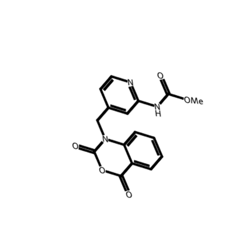 COC(=O)Nc1cc(Cn2c(=O)oc(=O)c3ccccc32)ccn1